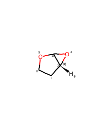 C1C[C@H]2OC2O1